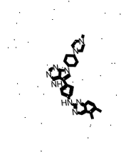 Cc1ccc2nc(Nc3ccc(-c4cn([C@H]5CC[C@@H](N6CCN(C)CC6)CC5)c5ncnc(N)c45)cc3)ncc2c1C